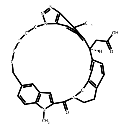 Cc1c2ccc3c1nnn3CCCCCCc1ccc3c(c1)cc(n3C)C(=O)N1CCc3ccc(cc3C1)[C@@H]2CC(=O)O